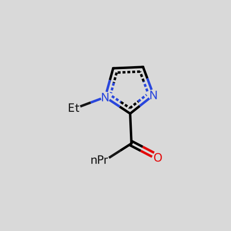 CCCC(=O)c1nccn1CC